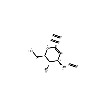 C=C.C=C.C=C.OC[C@H]1OC=C[C@@H](O)[C@@H]1O